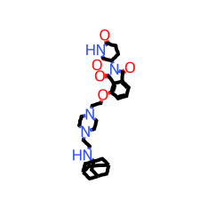 O=C1CCC(N2C(=O)c3cccc(OCCN4CCN(CCNC56CC7CC(CC(C7)C5)C6)CC4)c3C2=O)C(=O)N1